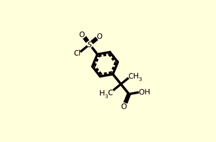 CC(C)(C(=O)O)c1ccc(S(=O)(=O)Cl)cc1